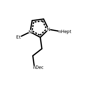 CCCCCCCCCCCCc1n(CCCCCCC)cc[n+]1CC